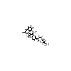 Cc1cc(-c2[nH]c3ccc(C4CCN(CC(C)(C)O)CC4)cc3c2C(C)C)c2ccccc2n1